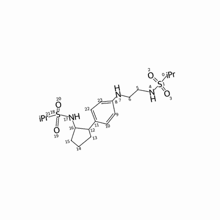 CC(C)S(=O)(=O)NCCNc1ccc(C2CCCC2NS(=O)(=O)C(C)C)cc1